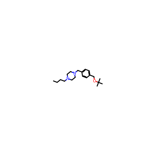 CCCCN1CCN(Cc2ccc(COC(C)(C)C)cc2)CC1